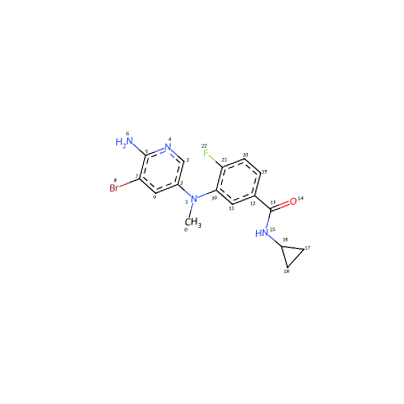 CN(c1cnc(N)c(Br)c1)c1cc(C(=O)NC2CC2)ccc1F